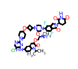 CNC(=O)COc1cc2cc(Nc3nc(N4CCC(OC5CC(N6CCN(c7cc(F)c8c(c7F)CN([C@@H]7CCC(=O)NC7=O)C8=O)CC6)C5)CC4)ncc3Cl)ccc2n(C(C)C)c1=O